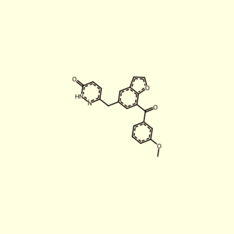 COc1cccc(C(=O)c2cc(Cc3ccc(=O)[nH]n3)cc3ccoc23)c1